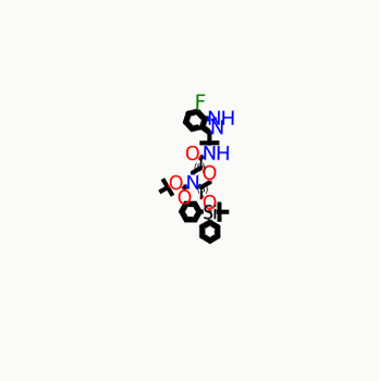 CC(C)(C)OC(=O)N1C[C@@H](C(=O)NC(C)(C)c2n[nH]c3c(F)cccc23)OC[C@H]1CO[Si](c1ccccc1)(c1ccccc1)C(C)(C)C